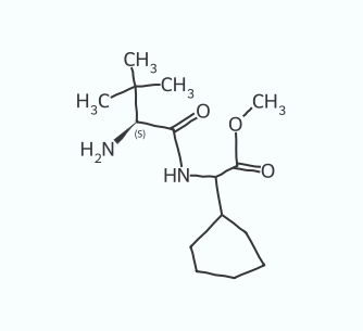 COC(=O)C(NC(=O)[C@@H](N)C(C)(C)C)C1CCCCC1